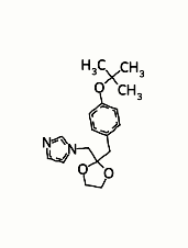 CC(C)(C)Oc1ccc(CC2(Cn3ccnc3)OCCO2)cc1